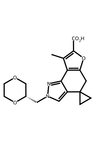 Cc1c(C(=O)O)oc2c1-c1nn(C[C@H]3COCCO3)cc1C1(CC1)C2